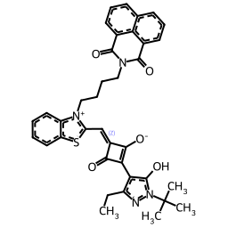 CCc1nn(C(C)(C)C)c(O)c1C1=C([O-])/C(=C/c2sc3ccccc3[n+]2CCCCN2C(=O)c3cccc4cccc(c34)C2=O)C1=O